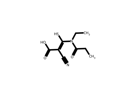 CCC(=O)N(CC)/C(S)=C(\C#N)C(=O)O